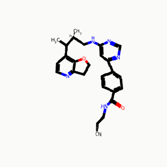 CC(c1ccnc2c1OCC2)[C@H](C)CNc1cc(-c2ccc(C(=O)NCCC#N)cc2)ncn1